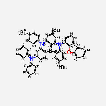 CC(C)(C)c1ccc(N2c3cc(N(c4ccccc4)c4ccccc4)ccc3B3c4cc(C(C)(C)C)ccc4N(c4cccc5c4oc4ccccc45)c4cc(C(C)(C)C)cc2c43)cc1